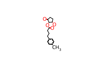 Cc1ccc(CCCC(=O)OC2C(=O)CCC2=O)cc1